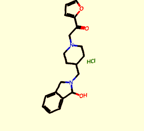 Cl.O=C(CN1CCC(CN2Cc3ccccc3C2O)CC1)c1ccco1